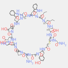 CCCC[C@H]1C(=O)N(C)[C@@H](CCCC)C(=O)N[C@@H](CO)C(=O)N[C@H](C(=O)NCC(N)=O)CSCC(=O)N[C@@H](Cc2ccc(O)cc2)C(=O)N(C)[C@@H](C)C(=O)N[C@@H](CCN)C(=O)N2CCC[C@H]2C(=O)N[C@@H](Cc2c[nH]cn2)C(=O)N[C@@H](CCC(=O)O)C(=O)N2C[C@H](O)C[C@H]2C(=O)N[C@@H](Cc2c[nH]c3ccccc23)C(=O)N[C@@H](C(C)C)C(=O)N[C@@H](Cc2c[nH]c3ccccc23)C(=O)N1C